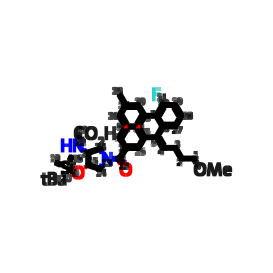 COCCC/C=C(/c1cccc(C(=O)N2C[C@H](O[Si](C)(C)C(C)(C)C)[C@H](NC(=O)O)C2)c1)c1cccc(F)c1-c1cccc(C)c1